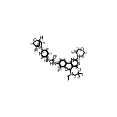 CCN1CC(C)(C)Oc2nc(N3CCOC[C@@H]3C)nc(-c3ccc(NC(=O)Nc4ccc(N5C[C@@H]6C[C@H]5CO6)nc4)c(F)c3)c2C1=O